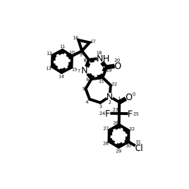 O=C(N1CCCc2nc(C3(c4ccccc4)CC3)[nH]c(=O)c2C1)C(F)(F)c1cccc(Cl)c1